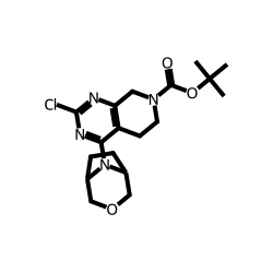 CC(C)(C)OC(=O)N1CCc2c(nc(Cl)nc2N2C3CCC2COC3)C1